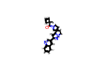 CC1(C(=O)N2CCC3(CCn4nc(-c5cnc6ccccc6c5)cc43)C2)CCC1